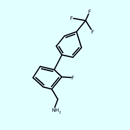 NCc1cccc(-c2ccc(C(F)(F)F)cc2)c1F